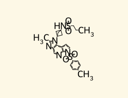 CCCS(=O)(=O)NC12CC(n3c(C)nc4cnc5c(ccn5S(=O)(=O)c5ccc(C)cc5)c43)(C1)C2